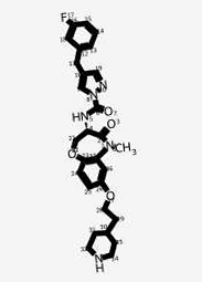 CN1C(=O)[C@@H](NC(=O)n2cc(Cc3cccc(F)c3)cn2)COc2ccc(OCCC3CCNCC3)cc21